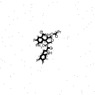 CC(C)C(=O)OC1OC[C@@H](N(C)C(=O)c2cc3cc(F)c(F)cc3[nH]2)c2c1[nH]c(=O)c1cc(F)c(F)cc21